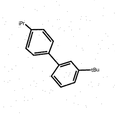 CC(C)c1ccc(-c2[c]ccc(C(C)(C)C)c2)cc1